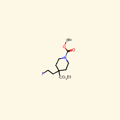 CCOC(=O)C1(CCI)CCN(C(=O)OC(C)(C)C)CC1